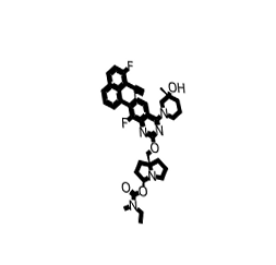 C#Cc1c(F)ccc2cccc(-c3c(F)cc4c(N5CCC[C@@](C)(O)C5)nc(OC[C@@]56CCCN5[C@@H](OC(=O)N(C)CC)CC6)nc4c3F)c12